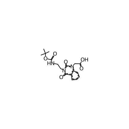 CC(C)(C)OC(=O)NCCn1c(=O)c2ccccc2n(CC(=O)O)c1=O